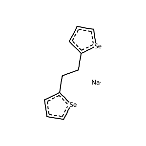 [Na].c1c[se]c(CCc2ccc[se]2)c1